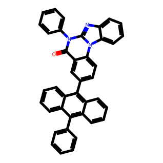 O=c1c2cc(-c3c4ccccc4c(-c4ccccc4)c4ccccc34)ccc2n2c3ccccc3nc2n1-c1ccccc1